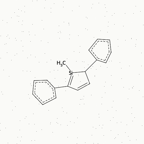 C[Si]1=C(c2ccccc2)C=CC1c1ccccc1